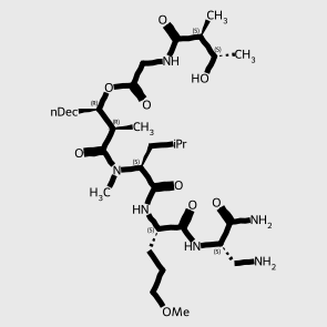 CCCCCCCCCC[C@@H](OC(=O)CNC(=O)[C@@H](C)[C@H](C)O)[C@@H](C)C(=O)N(C)[C@@H](CC(C)C)C(=O)N[C@@H](CCCOC)C(=O)N[C@@H](CN)C(N)=O